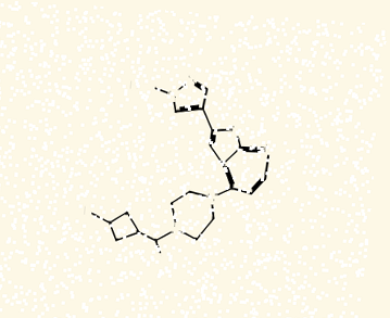 Cn1cc(-c2cc3c(N4CCN(C(O)C5CC(F)C5)CC4)ccnc3[nH]2)cn1